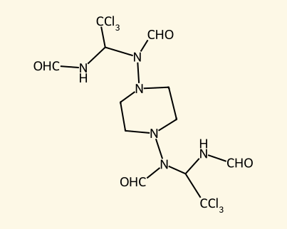 O=CNC(N(C=O)N1CCN(N(C=O)C(NC=O)C(Cl)(Cl)Cl)CC1)C(Cl)(Cl)Cl